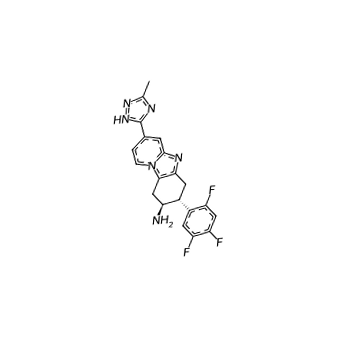 Cc1n[nH]c(-c2ccn3c4c(nc3c2)C[C@H](c2cc(F)c(F)cc2F)[C@@H](N)C4)n1